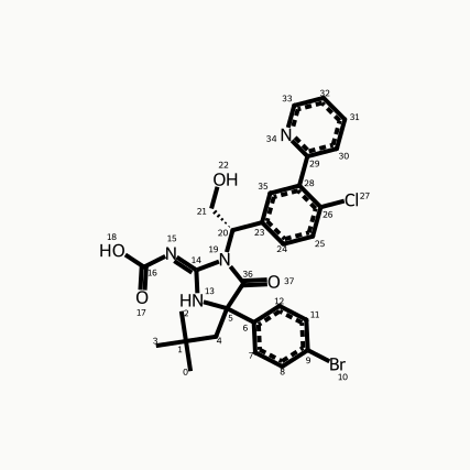 CC(C)(C)CC1(c2ccc(Br)cc2)NC(=NC(=O)O)N([C@H](CO)c2ccc(Cl)c(-c3ccccn3)c2)C1=O